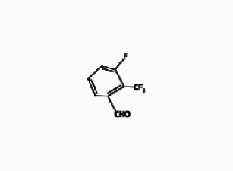 O=Cc1cccc(F)c1C(F)(F)F